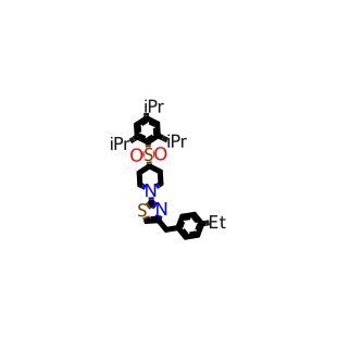 CCc1ccc(Cc2csc(N3CCC(S(=O)(=O)c4c(C(C)C)cc(C(C)C)cc4C(C)C)CC3)n2)cc1